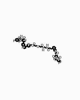 COc1ncc(-c2ccc3nccc(-c4ccc(COC(=O)CCOCCC(=O)NCCNC(=O)CCc5cccc6c5CN(C(=O)C[C@@H]5C[C@@H](C(=O)N7CC(F)(F)C[C@H]7C#N)NC5=O)C6)nc4)c3c2)cc1NS(=O)(=O)c1ccc(F)cc1F